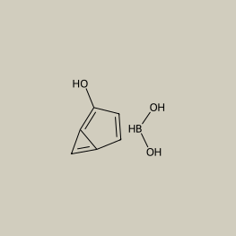 OBO.Oc1ccc2cc1-2